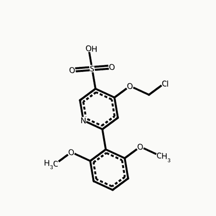 COc1cccc(OC)c1-c1cc(OCCl)c(S(=O)(=O)O)cn1